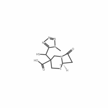 Cn1nnnc1C(S)C1(C(=O)O)CS[C@@H]2CC(=O)N2C1